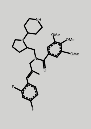 COc1cc(C(=O)N(C/C(C)=C/c2ccc(F)cc2F)CC2CCCN2C2CCNCC2)cc(OC)c1OC